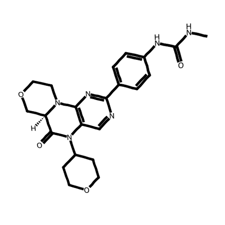 CNC(=O)Nc1ccc(-c2ncc3c(n2)N2CCOC[C@@H]2C(=O)N3C2CCOCC2)cc1